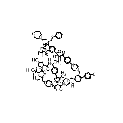 Cc1ncsc1-c1ccc([C@H](C)NC(=O)[C@@H]2C[C@@H](O)CN2C(=O)[C@@H](NC(=O)CN2CCN(C(=O)CC(=O)N3CCN(C[C@]4(C)CCC(c5ccc(Cl)cc5)=C(CN5CCN(c6ccc(C(=O)NS(=O)(=O)c7ccc(N[C@H](CCN8CCCOCC8)CSc8ccccc8)c(S(=O)(=O)C(F)(F)F)c7)cc6)CC5)C4)CC3)CC2)C(C)(C)C)cc1